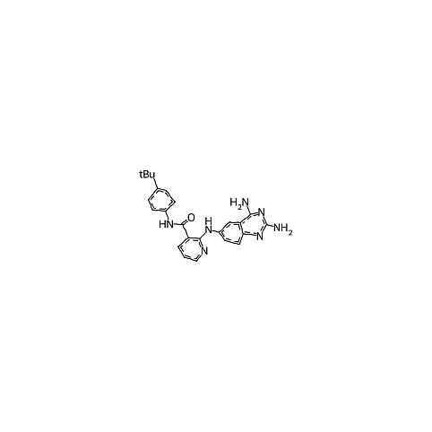 CC(C)(C)c1ccc(NC(=O)c2cccnc2Nc2ccc3nc(N)nc(N)c3c2)cc1